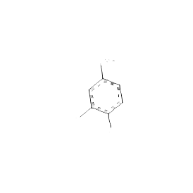 COc1ccc(Cl)c(C(C)C)c1